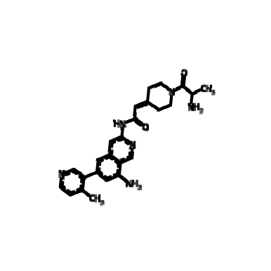 Cc1ccncc1-c1cc(N)c2cnc(NC(=O)C=C3CCN(C(=O)C(C)N)CC3)cc2c1